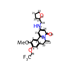 COc1cc2c(cc1OCC(F)(F)F)CC(C)n1c-2cc(NCC2CCCO2)cc1=O